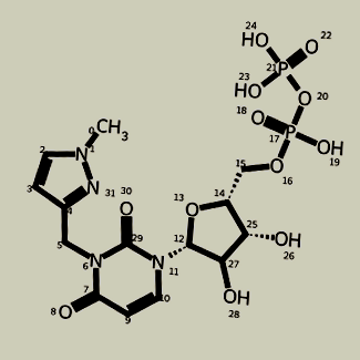 Cn1ccc(Cn2c(=O)ccn([C@@H]3O[C@H](COP(=O)(O)OP(=O)(O)O)[C@H](O)C3O)c2=O)n1